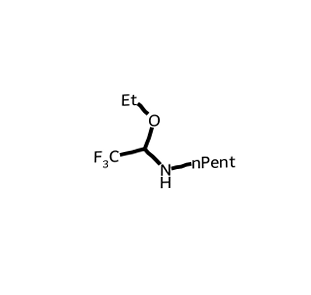 CCCCCNC(OCC)C(F)(F)F